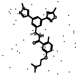 Cc1nc(-c2cc(-c3cnn(C)c3)cc([C@@H](C)NC(=O)c3cc(OCCN(C)C)ccc3C)c2)no1